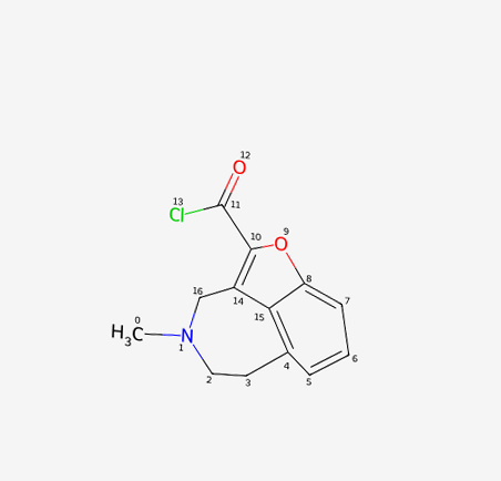 CN1CCc2cccc3oc(C(=O)Cl)c(c23)C1